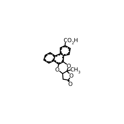 CC12OC(=O)CC1Oc1c(c3ccc(C(=O)O)cc3c3ccccc13)O2